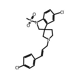 CS(=O)(=O)N1CC2(CCN(CC=Cc3ccc(Cl)cc3)C2)c2cc(Cl)ccc21